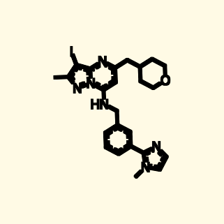 Cc1nn2c(NCc3cccc(-c4nccn4C)c3)cc(CC3CCOCC3)nc2c1I